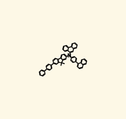 CC1(C)c2cc(-c3ccc(-c4ccccc4)cc3)ccc2-c2ccc(N(c3ccc(-c4cccc5ccccc45)cc3)c3cc4ccccc4c4ccccc34)cc21